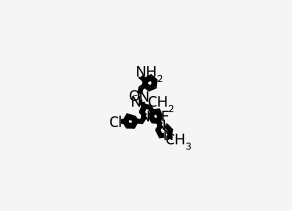 C=C1C(c2noc(Cc3ccccc3CN)n2)=CN(Cc2ccc(Cl)cc2)c2cc(N3CCN(C)CC3)c(F)cc21